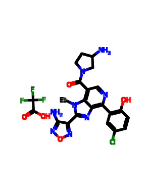 CCn1c(-c2nonc2N)nc2c(-c3cc(Cl)ccc3O)ncc(C(=O)N3CCC(N)C3)c21.O=C(O)C(F)(F)F